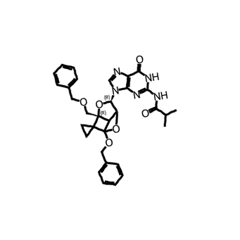 CC(C)C(=O)Nc1nc2c(ncn2[C@@H]2O[C@]3(COCc4ccccc4)C4C2OC4(OCc2ccccc2)C32CC2)c(=O)[nH]1